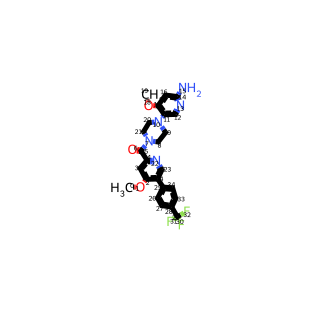 COc1cc(C(=O)N2CCN(c3cnc(N)cc3OC)CC2)ncc1-c1ccc(C(F)(F)F)cc1